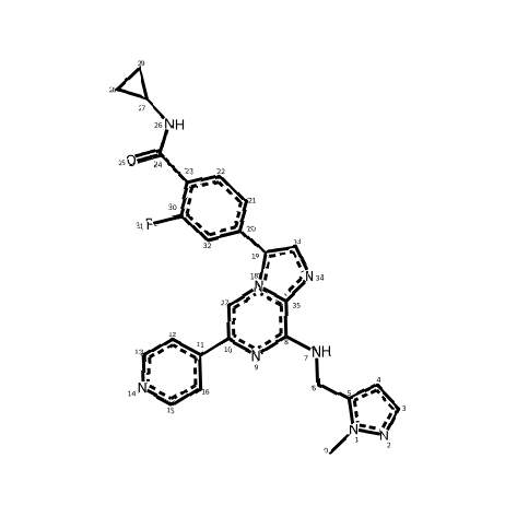 Cn1nccc1CNc1nc(-c2ccncc2)cn2c(-c3ccc(C(=O)NC4CC4)c(F)c3)cnc12